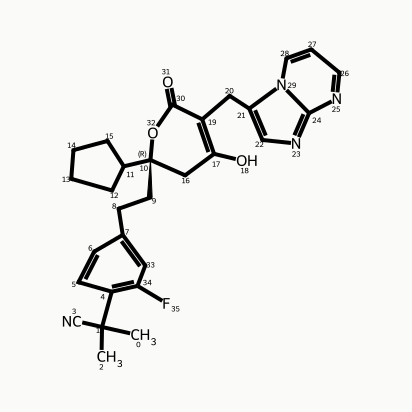 CC(C)(C#N)c1ccc(CC[C@]2(C3CCCC3)CC(O)=C(Cc3cnc4ncccn34)C(=O)O2)cc1F